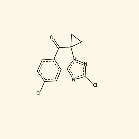 O=C(c1ccc(Cl)cc1)C1(n2cnc(Cl)n2)CC1